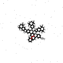 CC(C)(C)c1ccc(N2c3cc4c(oc5ccccc54)c4c3B(c3oc5cc6c(cc5c32)C(C)(C)CCC6(C)C)N(c2ccc3c(c2)C(C)(C)CCC3(C)C)c2cc3c(cc2-4)oc2cc4c(cc23)C(C)(C)CCC4(C)C)c(-c2ccccc2)c1